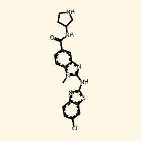 Cn1c(Nc2nc3ccc(Cl)cc3s2)nc2cc(C(=O)NC3CCNC3)ccc21